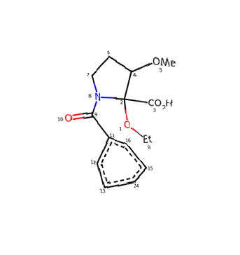 CCOC1(C(=O)O)C(OC)CCN1C(=O)c1ccccc1